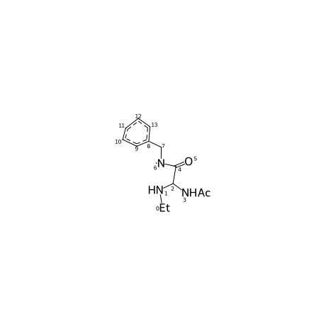 CCNC(NC(C)=O)C(=O)[N]Cc1ccccc1